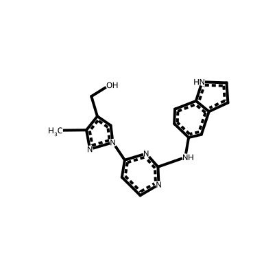 Cc1nn(-c2ccnc(Nc3ccc4[nH]ccc4c3)n2)cc1CO